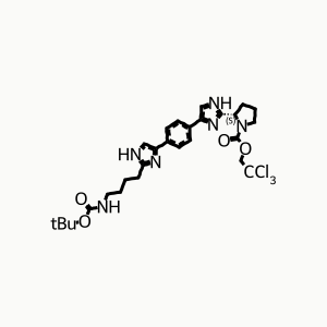 CC(C)(C)OC(=O)NCCCCc1nc(-c2ccc(-c3c[nH]c([C@@H]4CCCN4C(=O)OCC(Cl)(Cl)Cl)n3)cc2)c[nH]1